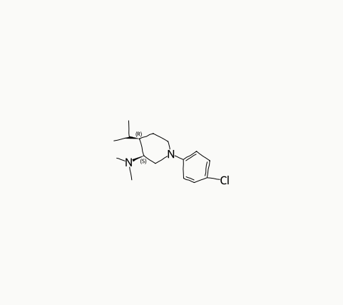 CC(C)[C@H]1CCN(c2ccc(Cl)cc2)C[C@H]1N(C)C